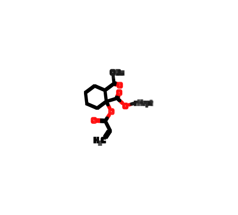 C=CC(=O)OC1(C(=O)OCCCCCCC)CCCCC1C(=O)OCC(C)C